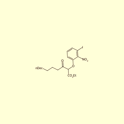 CCCCCCCCCCCCCC(=O)C(Oc1cccc(I)c1[N+](=O)[O-])C(=O)OCC